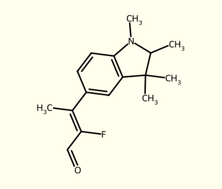 CC(=C(F)C=O)c1ccc2c(c1)C(C)(C)C(C)N2C